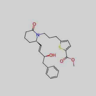 COC(=O)c1ccc(CCCN2C(=O)CCC[C@@H]2C=C[C@@H](O)Cc2ccccc2)s1